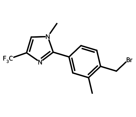 Cc1cc(-c2nc(C(F)(F)F)cn2C)ccc1CBr